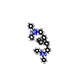 c1ccc(-c2nc(-c3ccccc3)nc(-c3cccc(-c4ccc5c(c4)C4(c6cc(-c7cccc(-c8nc(-c9ccccc9)nc(-c9ccccc9)n8)c7)ccc6-5)C5CC6CC(C5)CC4C6)c3)n2)cc1